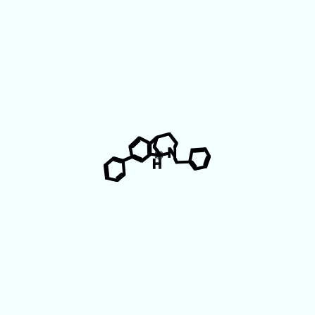 c1ccc(CN2CCC3C[C@@H]2c2cc(-c4ccccc4)ccc23)cc1